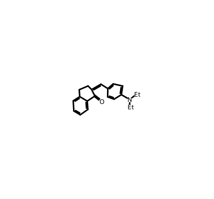 CCN(CC)c1ccc(C=C2CCc3ccccc3C2=O)cc1